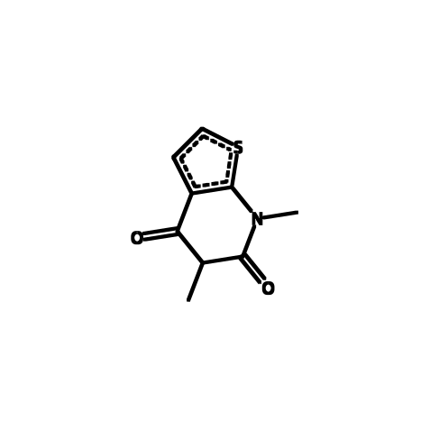 CC1C(=O)c2ccsc2N(C)C1=O